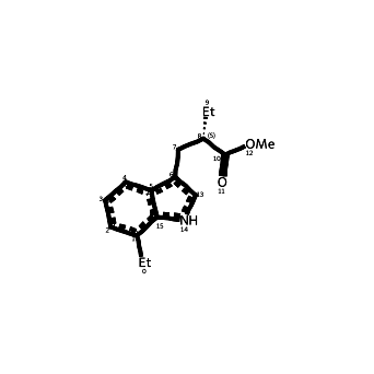 CCc1cccc2c(C[C@H](CC)C(=O)OC)c[nH]c12